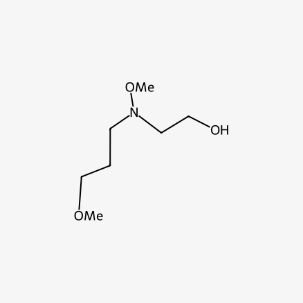 COCCCN(CCO)OC